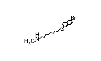 CCNCCCCCCCCCCOc1ccc2cc(Br)ccc2c1